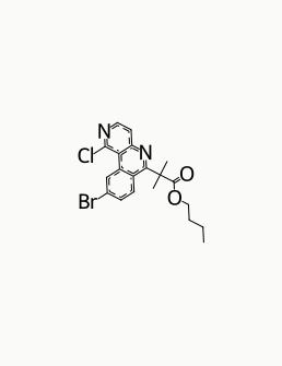 CCCCOC(=O)C(C)(C)c1nc2ccnc(Cl)c2c2cc(Br)ccc12